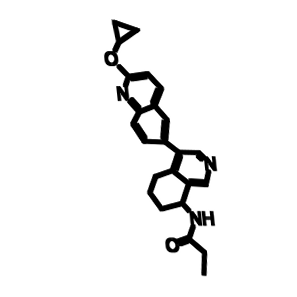 CCC(=O)NC1CCCc2c(-c3ccc4nc(OC5CC5)ccc4c3)cncc21